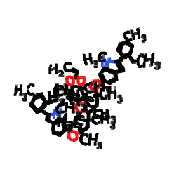 C=CC(=O)OC(C)(C)CC(C)OC(C(C)(C)CC(C)(C)Oc1ccc2cc(-c3ccc(C)cc3CC)n(C)c2c1)C(C)(C)CC(C)(C)Oc1ccc2cc(-c3ccc(C)cc3CC)n(C)c2c1